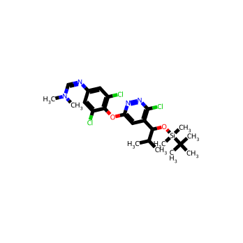 CC(C)C(O[Si](C)(C)C(C)(C)C)c1cc(Oc2c(Cl)cc(/N=C\N(C)C)cc2Cl)nnc1Cl